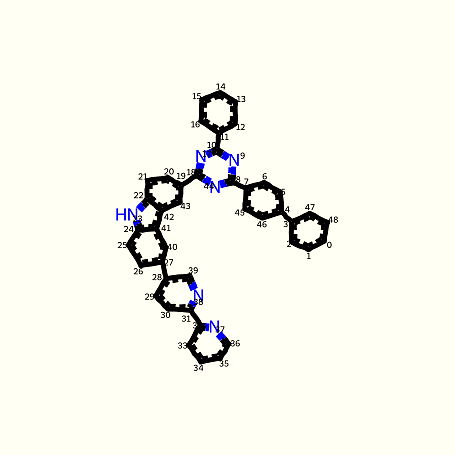 c1ccc(-c2ccc(-c3nc(-c4ccccc4)nc(-c4ccc5[nH]c6ccc(-c7ccc(-c8ccccn8)nc7)cc6c5c4)n3)cc2)cc1